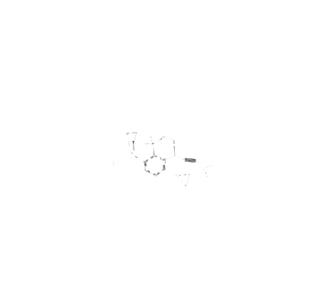 CN(c1ccc(C2CC2)c2c1C(C)(C)CCC2C#C[SiH](C)C)C1CC1